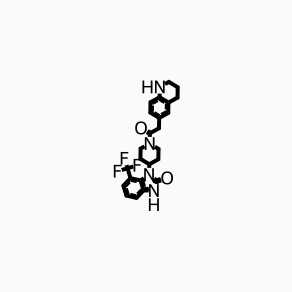 O=C(Cc1ccc2c(c1)CCCN2)N1CCC(n2c(=O)[nH]c3cccc(C(F)(F)F)c32)CC1